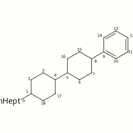 CCCCCCCC1CCC(C2CCC(c3ccccc3)CC2)CC1